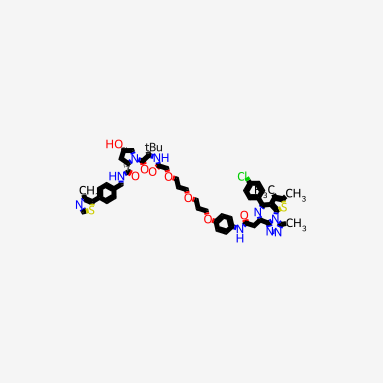 Cc1ncsc1-c1ccc(CNC(=O)[C@@H]2C[C@@H](O)CN2C(=O)C(NC(=O)COCCCOCCCOc2ccc(NC(=O)CC3N=C(c4ccc(Cl)cc4)c4c(sc(C)c4C)-n4c(C)nnc43)cc2)C(C)(C)C)cc1